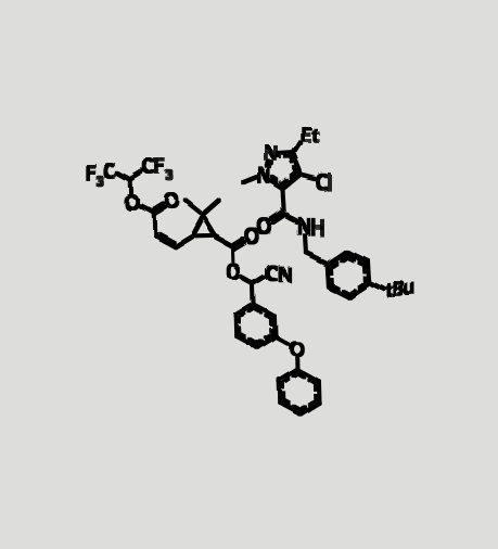 CC1(C)C(/C=C\C(=O)OC(C(F)(F)F)C(F)(F)F)C1C(=O)OC(C#N)c1cccc(Oc2ccccc2)c1.CCc1nn(C)c(C(=O)NCc2ccc(C(C)(C)C)cc2)c1Cl